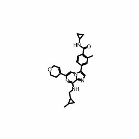 Cc1cc(-c2cnc3c(NCC4CC4C)nc(C4=CCOCC4)cn23)ccc1C(=O)NC1CC1